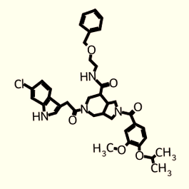 COc1cc(C(=O)N2CC3CN(C(=O)Cc4c[nH]c5cc(Cl)ccc45)CC(C(=O)NCCOCc4ccccc4)C3C2)ccc1OC(C)C